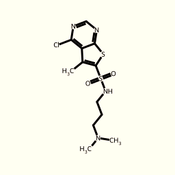 Cc1c(S(=O)(=O)NCCCN(C)C)sc2ncnc(Cl)c12